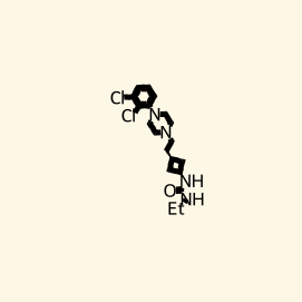 CCNC(=O)N[C@H]1C[C@@H](CCN2CCN(c3cccc(Cl)c3Cl)CC2)C1